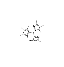 Cc1nn(C(n2nc(C)c(C)c2C)n2nc(C)c(C)c2C)c(C)c1C